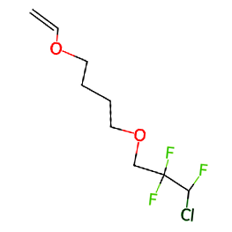 C=COCCCCOCC(F)(F)C(F)Cl